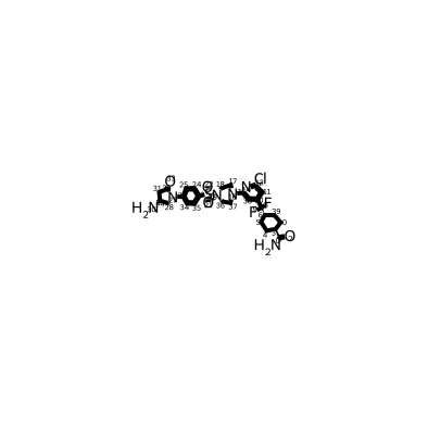 NC(=O)[C@H]1CC[C@H](C(F)(F)c2cc(Cl)nc(N3CCN(S(=O)(=O)c4ccc(N5C[C@H](N)CC5=O)cc4)CC3)c2)CC1